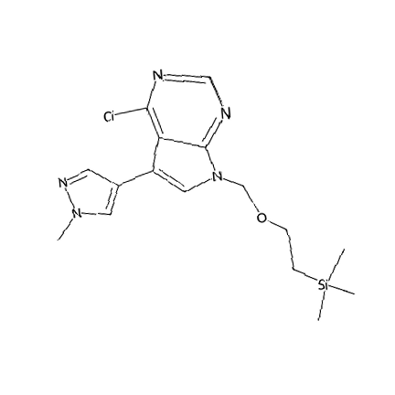 Cn1cc(-c2cn(COCC[Si](C)(C)C)c3ncnc(Cl)c23)cn1